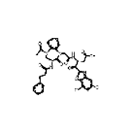 CC(=O)N1C[C@H](NC(=O)CCc2ccccc2)C(=O)N(CC(=O)N[C@@H](CC(=O)O)C(=O)c2nc3cc(Cl)cc(Cl)c3o2)c2ccccc21